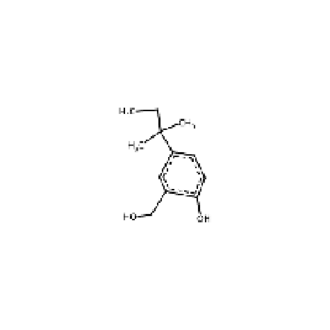 CCC(C)(C)c1ccc(O)c(CO)c1